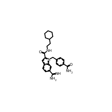 N=C(N)c1ccc2cc(C(=O)NCCC3CCCCC3)n(Cc3ccc(C(N)=O)cc3)c2c1